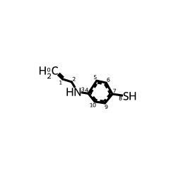 C=CCNc1ccc(S)cc1